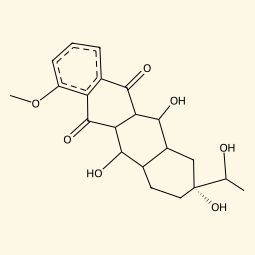 COc1cccc2c1C(=O)C1C(O)C3CC[C@](O)(C(C)O)CC3C(O)C1C2=O